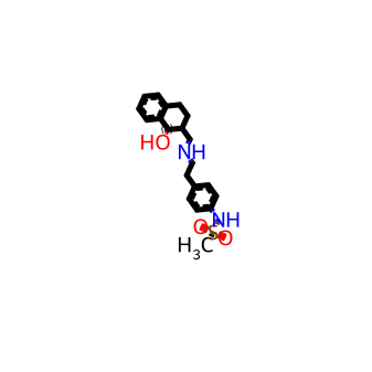 CS(=O)(=O)Nc1ccc(CCNCC2CCc3ccccc3[C@@H]2O)cc1